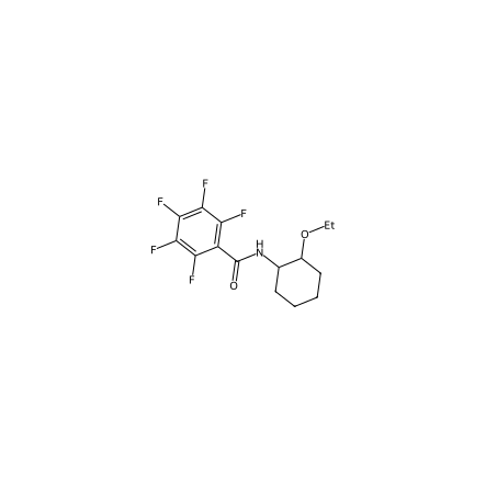 CCOC1CCCCC1NC(=O)c1c(F)c(F)c(F)c(F)c1F